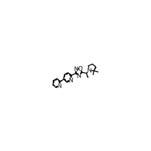 CC(c1nc(-c2ccc(-c3ccccn3)cn2)no1)N1CCCC1(C)C